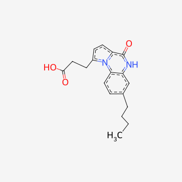 CCCCc1ccc2c(c1)[nH]c(=O)c1ccc(CCC(=O)O)n12